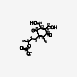 CC1=C(CCC(C)O[N+](=O)[O-])C(=O)C(CO)=C(CO)C1=O